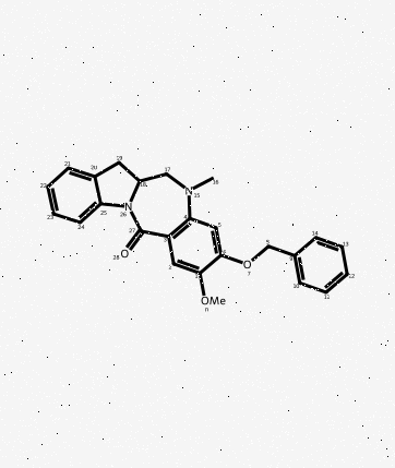 COc1cc2c(cc1OCc1ccccc1)N(C)CC1Cc3ccccc3N1C2=O